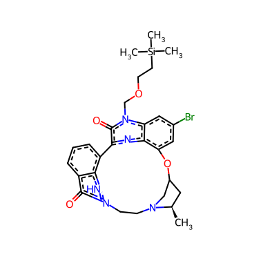 C[C@@H]1CC2CN1CCn1[nH]c3c(cccc3c1=O)-c1nc3c(cc(Br)cc3n(COCC[Si](C)(C)C)c1=O)O2